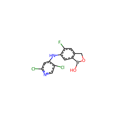 OB1OCc2cc(F)c(Nc3cc(Cl)ncc3Cl)cc21